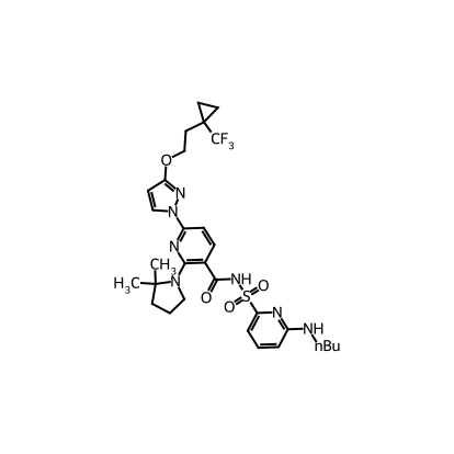 CCCCNc1cccc(S(=O)(=O)NC(=O)c2ccc(-n3ccc(OCCC4(C(F)(F)F)CC4)n3)nc2N2CCCC2(C)C)n1